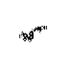 O=C1CC[C@@H](c2noc3ccc4cc(OCCN5CC(CO)(CCl)C5)ccc4c23)C(=O)N1